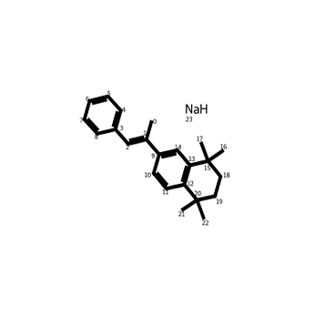 CC(=Cc1cc[c]cc1)c1ccc2c(c1)C(C)(C)CCC2(C)C.[NaH]